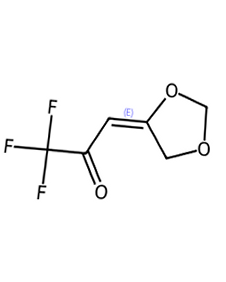 O=C(/C=C1\COCO1)C(F)(F)F